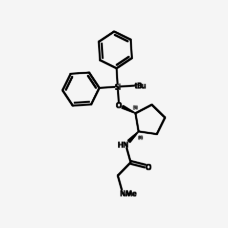 CNCC(=O)N[C@@H]1CCC[C@@H]1O[Si](c1ccccc1)(c1ccccc1)C(C)(C)C